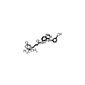 C#Cc1cccc(Nc2ncnc3ccc(NC(=O)C=CCN4CC(=O)OCC4(C)C)cc23)c1